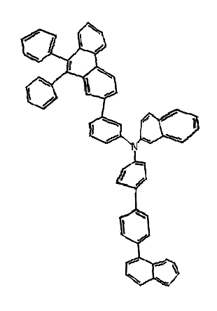 c1ccc(-c2c(-c3ccccc3)c3cc(-c4cccc(N(c5ccc(-c6ccc(-c7cccc8ccccc78)cc6)cc5)c5ccc6ccccc6c5)c4)ccc3c3ccccc23)cc1